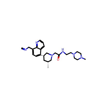 C=NCc1ccc([C@H]2C[C@@H](C)CN(CC(=O)NCCN3CCN(C)CC3)C2)c2cccnc12